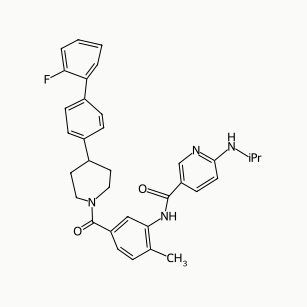 Cc1ccc(C(=O)N2CCC(c3ccc(-c4ccccc4F)cc3)CC2)cc1NC(=O)c1ccc(NC(C)C)nc1